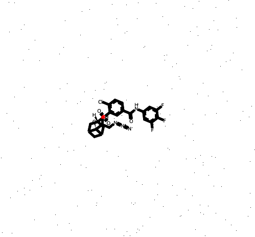 [N-]=[N+]=NCC(O)[C@]1(O)C2CC1C[C@@H](S(=O)(=O)c1cc(C(=O)Nc3cc(F)c(F)c(F)c3)ccc1Cl)C2